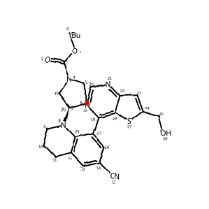 CC(C)(C)OC(=O)N1CC[C@@H](N2CCCc3cc(C#N)cc(-c4ncnc5cc(CO)sc45)c32)C1